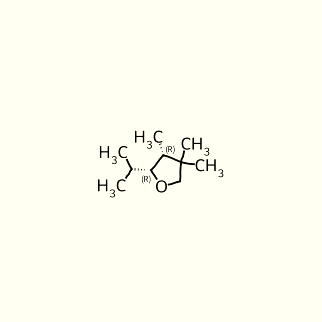 CC(C)[C@H]1OCC(C)(C)[C@H]1C